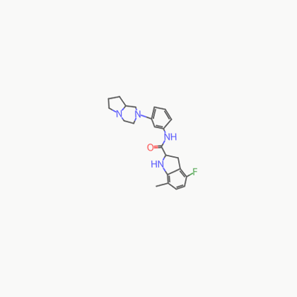 Cc1ccc(F)c2c1NC(C(=O)Nc1cccc(N3CCN4CCCC4C3)c1)C2